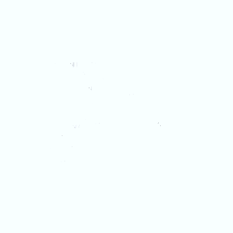 COc1ccc2c(OC3CC4C(=O)NC5(C(=O)O)CC5C=CCCCCNC(=O)N4C3)cc(-c3ccccc3)nc2c1